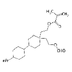 C=C(C)C(=O)OCCC1(CCOC=O)CCC(C2CCC(CCC)CC2)CC1